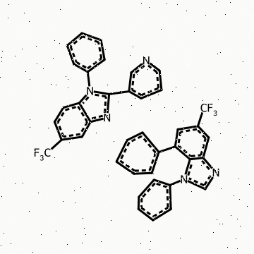 FC(F)(F)c1cc(-c2ccccc2)c2c(c1)ncn2-c1ccccc1.FC(F)(F)c1ccc2c(c1)nc(-c1cccnc1)n2-c1ccccc1